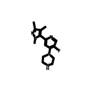 Cc1nn(C)c(-c2cc(N3CCNCC3)c(F)cn2)c1C